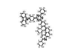 c1ccc(-c2cc(-c3ccccc3)c3c(ccc4ccc(-c5ccc(-c6nc(-c7ccccc7)nc(-c7ccc(-n8c9ccccc9c9ccccc98)cc7)n6)cc5)cc43)n2)cc1